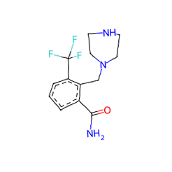 NC(=O)c1cccc(C(F)(F)F)c1CN1CCNCC1